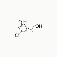 CC(CO)c1cc(Cl)nc(=O)[nH]1